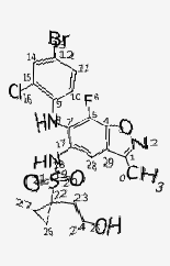 Cc1noc2c(F)c(Nc3ccc(Br)cc3Cl)c(NS(=O)(=O)C3(CCO)CC3)cc12